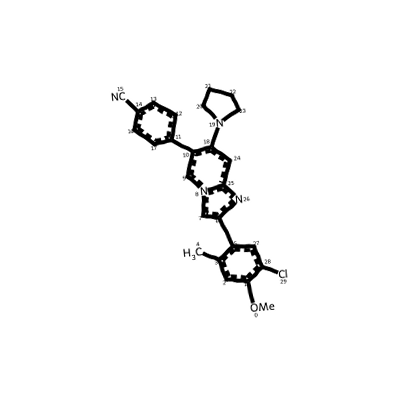 COc1cc(C)c(-c2cn3cc(-c4ccc(C#N)cc4)c(N4CCCC4)cc3n2)cc1Cl